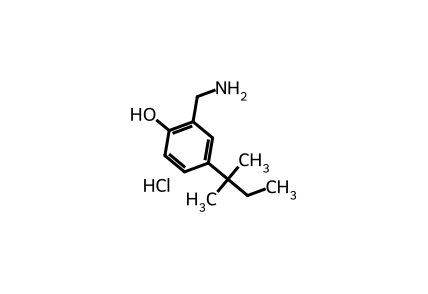 CCC(C)(C)c1ccc(O)c(CN)c1.Cl